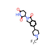 O=C1CCC(N2Cc3cc(C4CCN(CC(F)(F)F)CC4)ccc3C2=O)C(=O)N1